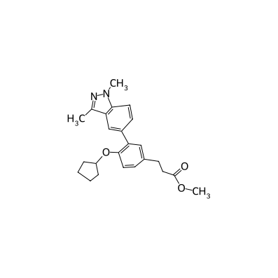 COC(=O)CCc1ccc(OC2CCCC2)c(-c2ccc3c(c2)c(C)nn3C)c1